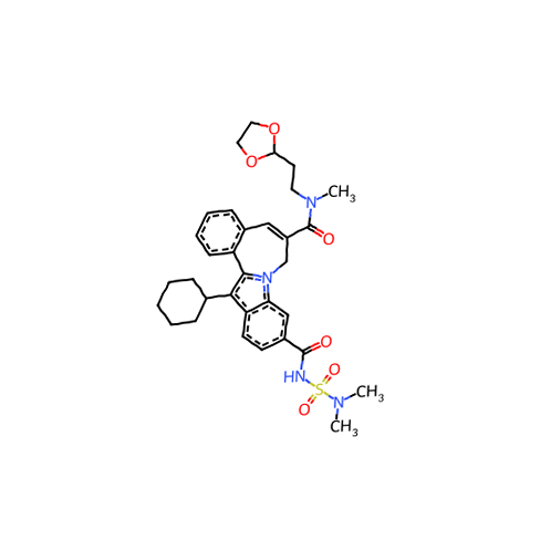 CN(CCC1OCCO1)C(=O)C1=Cc2ccccc2-c2c(C3CCCCC3)c3ccc(C(=O)NS(=O)(=O)N(C)C)cc3n2C1